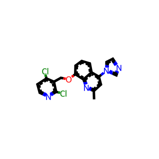 Cc1cc(-n2ccnc2)c2cccc(OCc3c(Cl)ccnc3Cl)c2n1